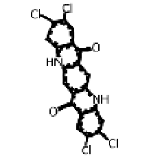 O=c1c2cc(Cl)c(Cl)cc2[nH]c2cc3c(=O)c4cc(Cl)c(Cl)cc4[nH]c3cc12